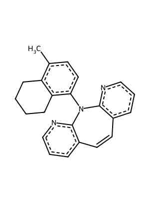 Cc1ccc(N2c3ncccc3C=Cc3cccnc32)c2c1CCCC2